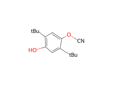 CC(C)(C)c1cc(OC#N)c(C(C)(C)C)cc1O